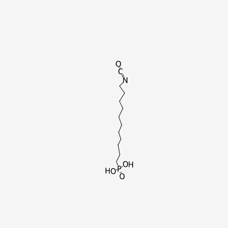 O=C=NCCCCCCCCCCCP(=O)(O)O